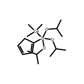 CC(C)[O][Zr]([O]C(C)C)([O]C(C)C)([C]1=CC=CC1)[Ge]([CH3])([CH3])[CH3]